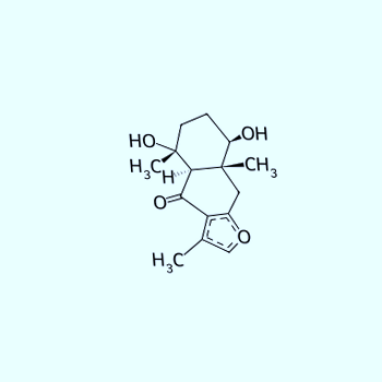 Cc1coc2c1C(=O)[C@@H]1[C@@](C)(C2)[C@H](O)CC[C@@]1(C)O